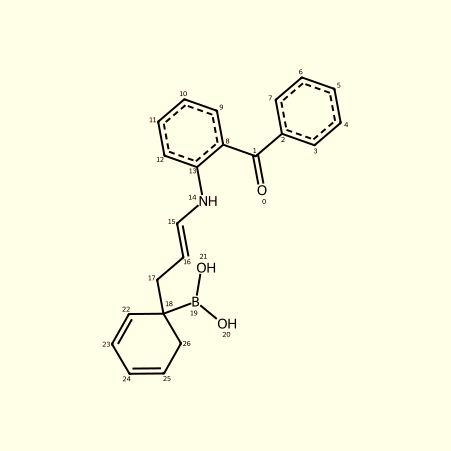 O=C(c1ccccc1)c1ccccc1NC=CCC1(B(O)O)C=CC=CC1